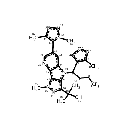 Cc1nocc1C(CCC(F)(F)F)n1c2cc(-c3c(C)nnn3C)cnc2c2c1c(C(C)(C)O)nn2C